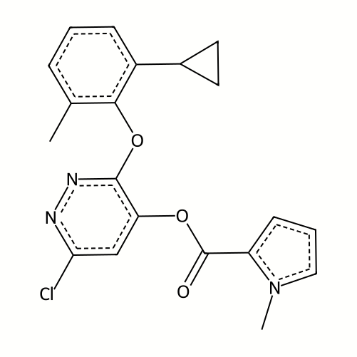 Cc1cccc(C2CC2)c1Oc1nnc(Cl)cc1OC(=O)c1cccn1C